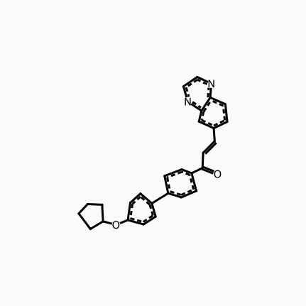 O=C(C=Cc1ccc2nccnc2c1)c1ccc(-c2ccc(OC3CCCC3)cc2)cc1